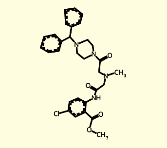 COC(=O)c1cc(Cl)ccc1NC(=O)CN(C)CC(=O)N1CCN(C(c2ccccc2)c2ccccc2)CC1